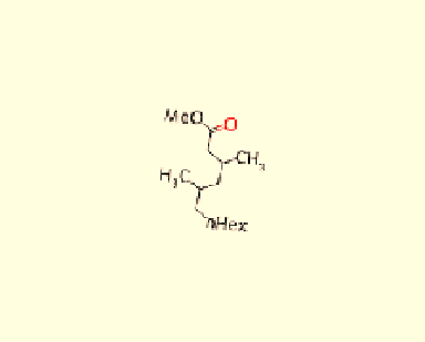 CCCCCCCC(C)CC(C)CC(=O)OC